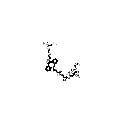 CCSNC(=O)C(C)(C)CCOC(C)(C)CCNC(=O)CCC(=O)N1Cc2ccccc2-c2c(nnn2CCOCCOC(C)CC)-c2ccccc21